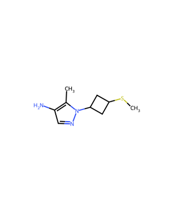 CSC1CC(n2ncc(N)c2C)C1